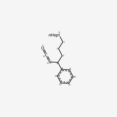 CCCCCCCCCCC(N=C=O)c1[c]cccc1